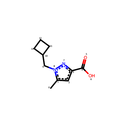 Cc1cc(C(=O)O)nn1CC1CCC1